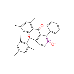 Cc1cc(C)c(C(=O)c2cc[p+]([O-])c(-c3ccccc3)c2C(=O)c2c(C)cc(C)cc2C)c(C)c1